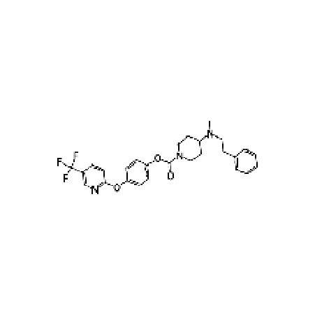 CN(CCc1ccccc1)C1CCN(C(=O)Oc2ccc(Oc3ccc(C(F)(F)F)cn3)cc2)CC1